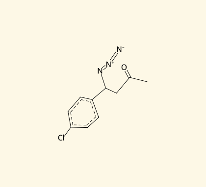 CC(=O)CC(N=[N+]=[N-])c1ccc(Cl)cc1